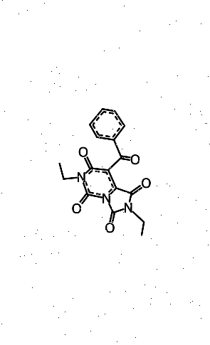 CCN1C(=O)c2c(C(=O)c3ccccc3)c(=O)n(CC)c(=O)n2C1=O